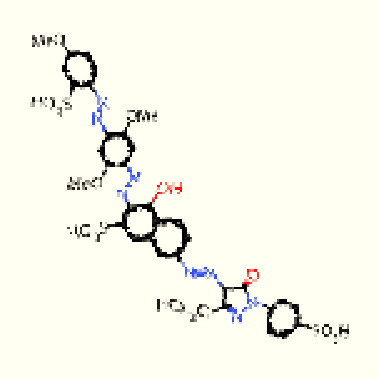 COc1ccc(/N=N/c2cc(OC)c(/N=N/c3c(S(=O)(=O)O)cc4cc(/N=N/C5C(=O)N(c6ccc(S(=O)(=O)O)cc6)N=C5C(=O)O)ccc4c3O)cc2OC)c(S(=O)(=O)O)c1